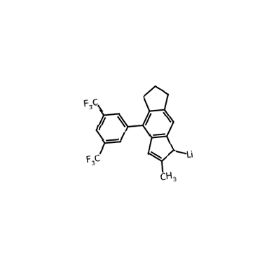 [Li][CH]1C(C)=Cc2c1cc1c(c2-c2cc(C(F)(F)F)cc(C(F)(F)F)c2)CCC1